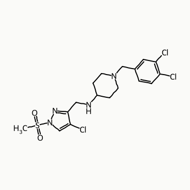 CS(=O)(=O)n1cc(Cl)c(CNC2CCN(Cc3ccc(Cl)c(Cl)c3)CC2)n1